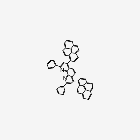 c1ccc(-c2cc(-c3ccc4ccc5cccc6ccc3c4c56)c3ccc4c(-c5ccc6ccc7cccc8ccc5c6c78)cc(-c5ccccc5)nc4c3n2)cc1